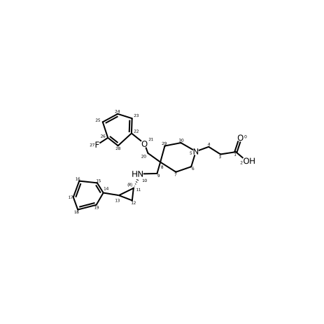 O=C(O)CCN1CCC(CN[C@@H]2CC2c2ccccc2)(COc2cccc(F)c2)CC1